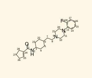 O=C(NC1CCC(CCN2CCN(c3ccccc3F)CC2)CC1)C1=CCCC1